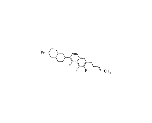 CC=CCCc1cc2ccc(C3CCC4CC(CC)CCC4C3)c(F)c2c(F)c1F